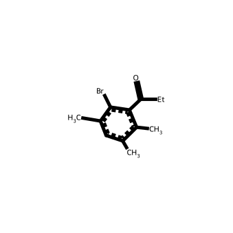 CCC(=O)c1c(C)c(C)cc(C)c1Br